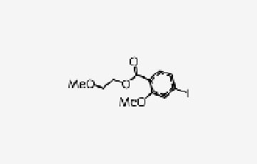 COCCOC(=O)c1ccc(I)cc1OC